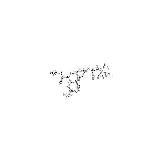 COC(=O)C1Cc2c[n+](CC(=O)OC(C)(C)C)cn2C(=O)N1CC(C)=O